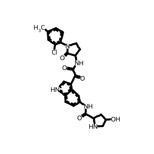 Cc1ccc(N2CCC(NC(=O)C(=O)c3c[nH]c4ccc(NC(=O)C5CC(O)CN5)cc34)C2=O)c(Cl)c1